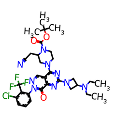 CCN(CC)C1CN(c2nc(N3CCN(C(=O)OC(C)(C)C)C(CC#N)C3)c3cnn(-c4cccc(Cl)c4C(F)(F)F)c(=O)c3n2)C1